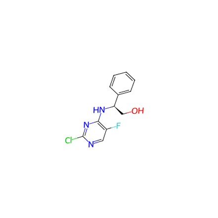 OC[C@@H](Nc1nc(Cl)ncc1F)c1ccccc1